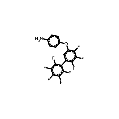 Nc1ccc(Oc2cc(-c3c(F)c(F)c(F)c(F)c3F)c(F)c(F)c2F)cc1